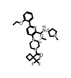 CCOc1ccccc1-c1ccc(N2CCN(C(=O)C3(C(F)(F)F)CCC3)C[C@H]2CC)c(C(=O)N[C@@H]2CCN(C)C2)n1